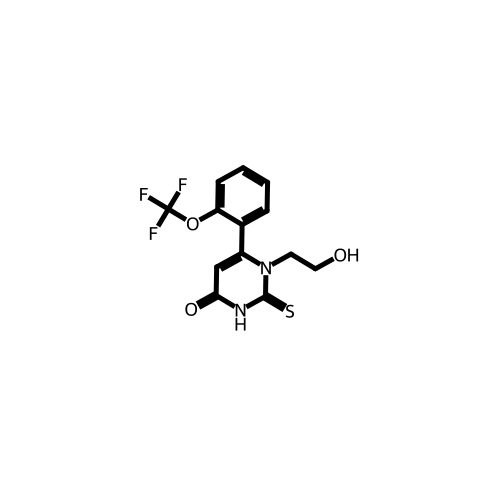 O=c1cc(-c2ccccc2OC(F)(F)F)n(CCO)c(=S)[nH]1